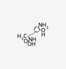 CC(CCc1ccc(N)c(O)c1)NC(=O)O